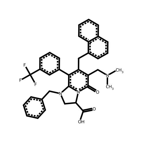 CN(C)Cc1c(Cc2cccc3ccccc23)c(-c2cccc(C(F)(F)F)c2)c2n(c1=O)C(C(=O)O)CN2Cc1ccccc1